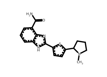 CN1CCCC1c1ccc(-c2nc3c(C(N)=O)cccc3[nH]2)s1